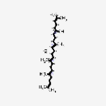 CC(C)=CCC/C(C)=C/CC/C(C)=C/CC/C=C(\C)CC/C=C(\C)CCC=C(C)C.[O]